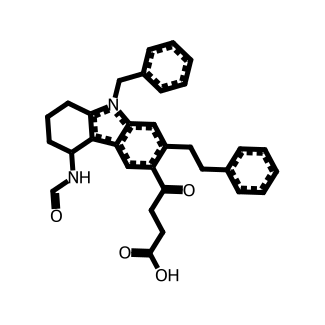 O=CNC1CCCc2c1c1cc(C(=O)CCC(=O)O)c(CCc3ccccc3)cc1n2Cc1ccccc1